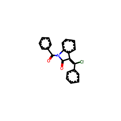 O=C1C(=C(Cl)c2ccccc2)c2ccccc2N1C(=O)c1ccccc1